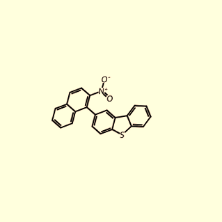 O=[N+]([O-])c1ccc2ccccc2c1-c1ccc2sc3ccccc3c2c1